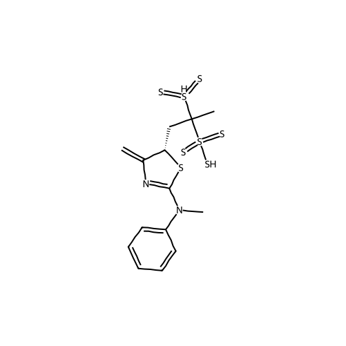 C=C1N=C(N(C)c2ccccc2)S[C@H]1CC(C)([SH](=S)=S)S(=S)(=S)S